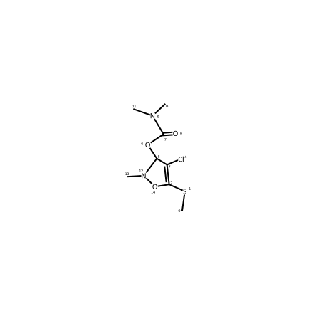 CSC1=C(Cl)C(OC(=O)N(C)C)N(C)O1